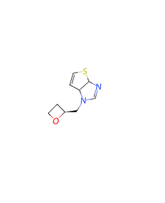 C1=CC2C(N=CN2C[C@@H]2CCO2)S1